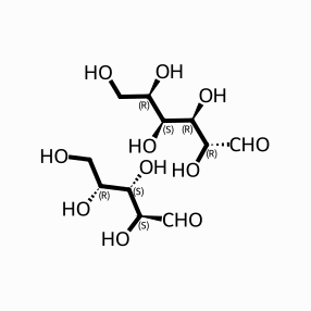 O=C[C@@H](O)[C@@H](O)[C@H](O)CO.O=C[C@H](O)[C@H](O)[C@@H](O)[C@H](O)CO